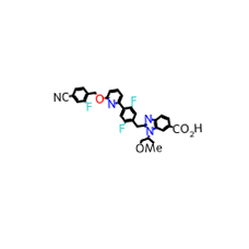 COCC(C)n1c(Cc2cc(F)c(-c3cccc(OCc4ccc(C#N)cc4F)n3)cc2F)nc2ccc(C(=O)O)cc21